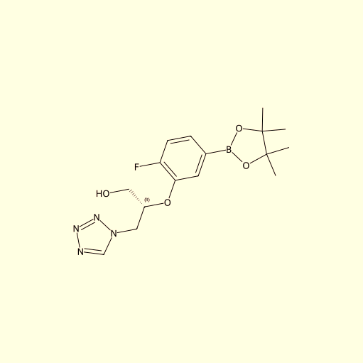 CC1(C)OB(c2ccc(F)c(O[C@@H](CO)Cn3cnnn3)c2)OC1(C)C